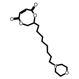 O=C1C=CC(=O)OC(CCCCCCCCN2CCOCC2)CO1